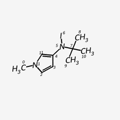 Cn1ccc(N(I)C(C)(C)C)c1